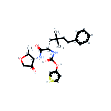 C[C@@H]1OCC(=O)[C@H]1NC(=O)[C@H](CC(C)(C)CCc1ccccc1)NC(=O)Oc1ccsc1